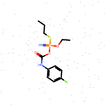 CCCSP(=N)(OCC)OC(=O)Nc1ccc(F)cc1